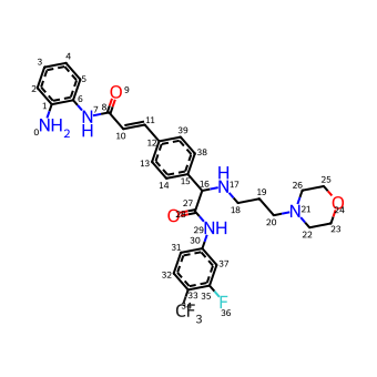 Nc1ccccc1NC(=O)C=Cc1ccc(C(NCCCN2CCOCC2)C(=O)Nc2ccc(C(F)(F)F)c(F)c2)cc1